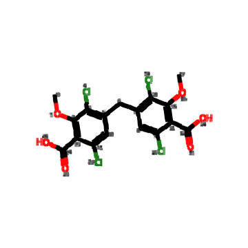 COc1c(Cl)c(Cc2cc(Cl)c(C(=O)O)c(OC)c2Cl)cc(Cl)c1C(=O)O